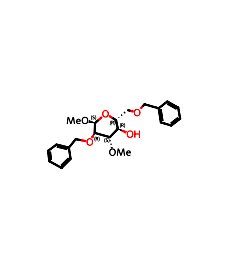 CO[C@H]1O[C@H](COCc2ccccc2)[C@@H](O)[C@H](OC)[C@H]1OCc1ccccc1